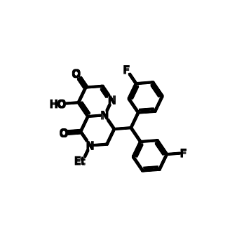 CCN1CC(C(c2cccc(F)c2)c2cccc(F)c2)n2ncc(=O)c(O)c2C1=O